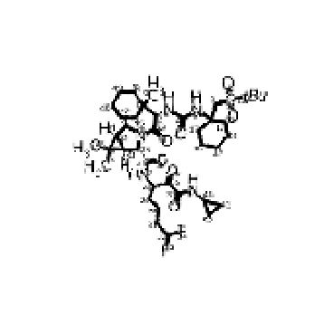 CC1([C@H](NC(=O)NC2(CS(=O)(=O)C(C)(C)C)CCCCC2)C(=O)N2C[C@H]3[C@@H]([C@H]2C(=O)NC(CCCC(F)F)C(=O)C(=O)NC2CC2)C3(C)C)CCCCC1